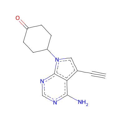 C#Cc1cn(C2CCC(=O)CC2)c2ncnc(N)c12